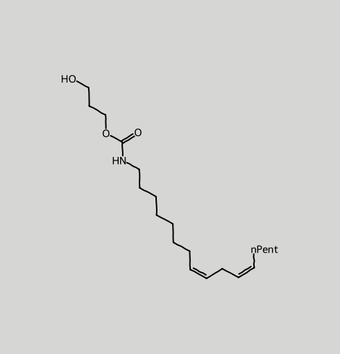 CCCCC/C=C\C/C=C\CCCCCCCNC(=O)OCCCO